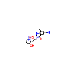 Cc1cc(C#N)cc2c(=O)n(CC(O)C[C@H]3NCCC[C@@H]3O)cnc12